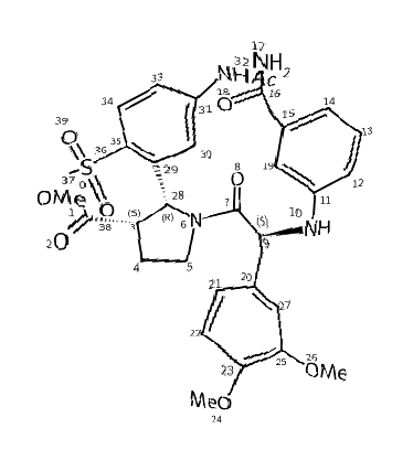 COC(=O)[C@H]1CCN(C(=O)[C@@H](Nc2cccc(C(N)=O)c2)c2ccc(OC)c(OC)c2)[C@H]1c1cc(NC(C)=O)ccc1S(C)(=O)=O